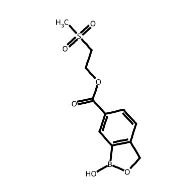 CS(=O)(=O)CCOC(=O)c1ccc2c(c1)B(O)OC2